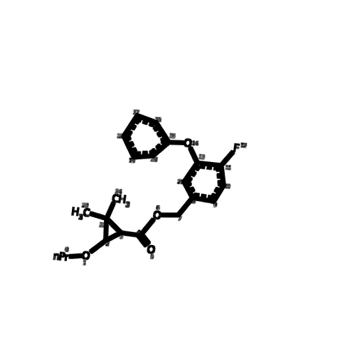 CCCOC1C(C(=O)OCc2ccc(F)c(Oc3ccccc3)c2)C1(C)C